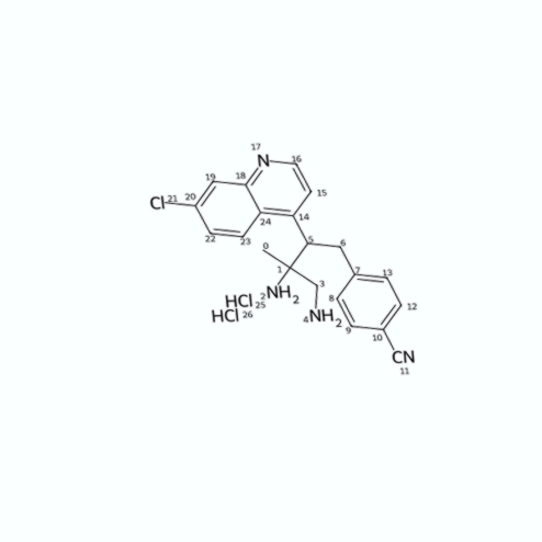 CC(N)(CN)C(Cc1ccc(C#N)cc1)c1ccnc2cc(Cl)ccc12.Cl.Cl